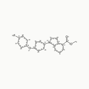 COC(=O)c1cccc2c1ccn2-c1ccc(Oc2ccc(F)cc2)cc1